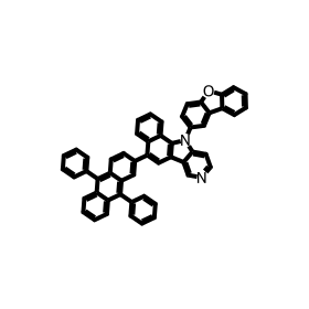 c1ccc(-c2c3ccccc3c(-c3ccccc3)c3cc(-c4cc5c6cnccc6n(-c6ccc7oc8ccccc8c7c6)c5c5ccccc45)ccc23)cc1